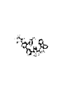 CCNC(=O)Nc1cc(-c2nc(C(F)(F)F)cs2)c(-c2cncc(-c3nnc(C(C4c5ccccc5-c5ccccc54)N(C)C(=O)O)o3)c2)cn1